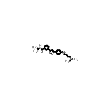 CC(C)NC(=O)c1cccc(-c2cc(-c3ccc(NCCCCN(C)C)cc3)on2)c1